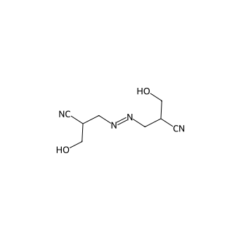 N#CC(CO)CN=NCC(C#N)CO